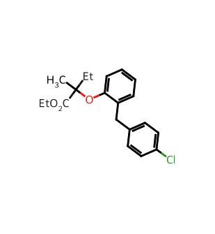 CCOC(=O)C(C)(CC)Oc1ccccc1Cc1ccc(Cl)cc1